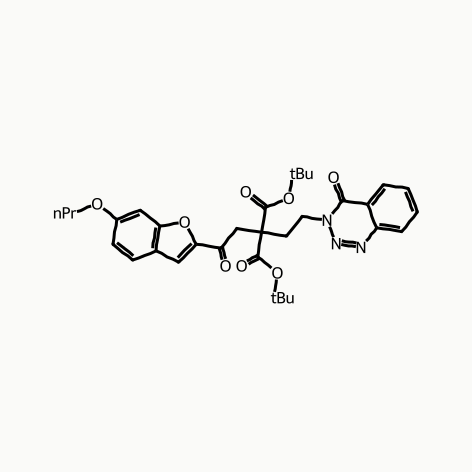 CCCOc1ccc2cc(C(=O)CC(CCn3nnc4ccccc4c3=O)(C(=O)OC(C)(C)C)C(=O)OC(C)(C)C)oc2c1